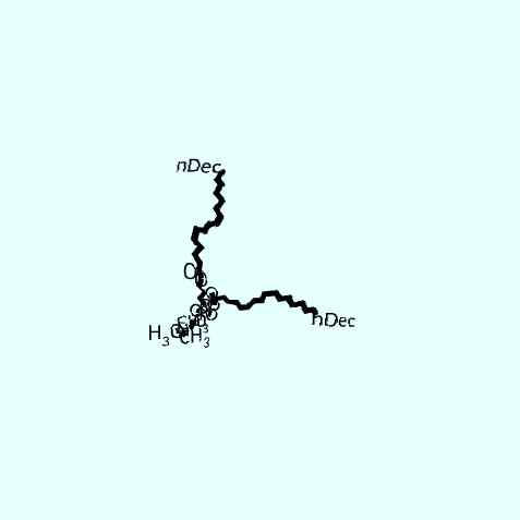 CCCCCCCCCCCCCCCC/C=C\CC/C=C\CCCC(=O)OC[C@H](COP(=O)([O-])OCC[N+](C)(C)C)OC(=O)CCC/C=C\CC/C=C\CCCCCCCCCCCCCCCC